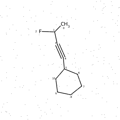 CC(F)C#CC1CC[CH]CC1